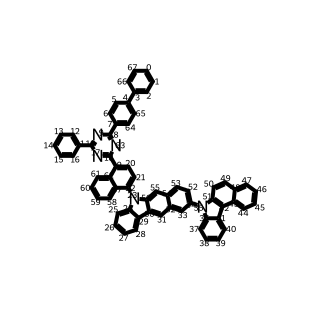 c1ccc(-c2ccc(-c3nc(-c4ccccc4)nc(-c4ccc(-n5c6ccccc6c6cc7cc(-n8c9ccccc9c9c%10ccccc%10ccc98)ccc7cc65)c5ccccc45)n3)cc2)cc1